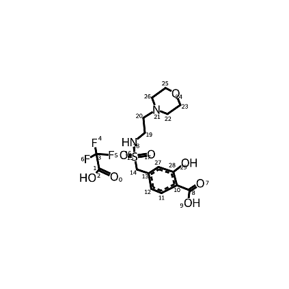 O=C(O)C(F)(F)F.O=C(O)c1ccc(CS(=O)(=O)NCCN2CCOCC2)cc1O